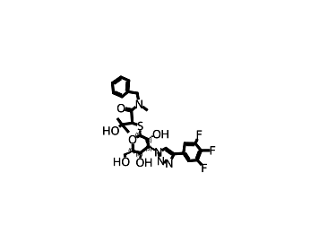 CN(Cc1ccccc1)C(=O)C(S[C@@H]1O[C@H](CO)[C@H](O)[C@H](n2cc(-c3cc(F)c(F)c(F)c3)nn2)[C@H]1O)C(C)(C)O